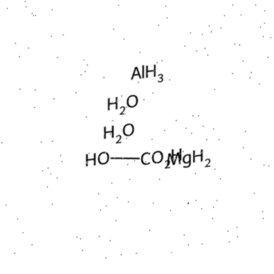 O.O.O=C(O)O.[AlH3].[MgH2]